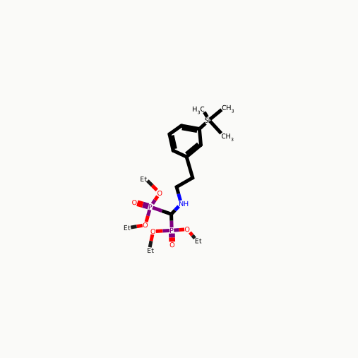 CCOP(=O)(OCC)C(NCCc1cccc([Si](C)(C)C)c1)P(=O)(OCC)OCC